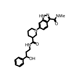 CNC(=O)c1n[nH]c2cc(N3CCCC(C(=O)NCCC(O)c4ccccc4)C3)ccc12